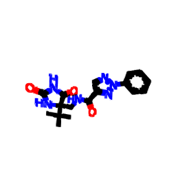 CC(C)(C)C1(CNC(=O)c2cnn(-c3ccccc3)n2)NC(=O)NC1=O